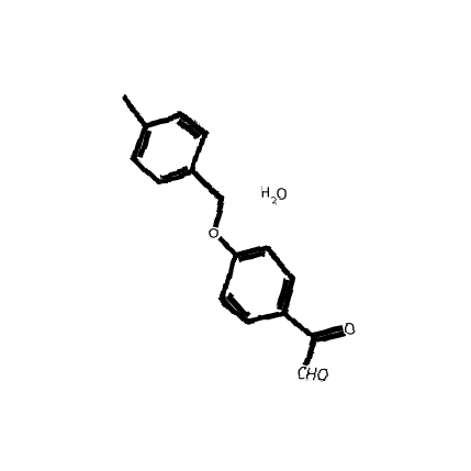 Cc1ccc(COc2ccc(C(=O)C=O)cc2)cc1.O